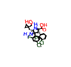 N[C@]1(c2ccc(Cl)cc2F)[C@H](CC2(CO)CC2)N[C@@H](C(=O)O)[C@@H]1c1cccc(Cl)c1F